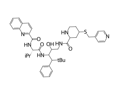 CC(C)[C@H](NC(=O)c1ccc2ccccc2n1)C(=O)NC(C(O)CNC(=O)C1CC(SCc2ccncc2)CCN1)C(c1ccccc1)C(C)(C)C